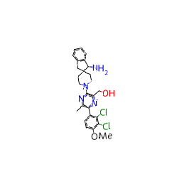 COc1ccc(-c2nc(CO)c(N3CCC4(CC3)Cc3ccccc3[C@H]4N)nc2C)c(Cl)c1Cl